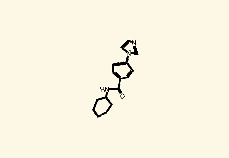 O=C(NC1CCCCC1)c1ccc(-n2ccnc2)cc1